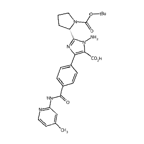 Cc1ccnc(NC(=O)c2ccc(-c3nc([C@@H]4CCCN4C(=O)OC(C)(C)C)n(N)c3C(=O)O)cc2)c1